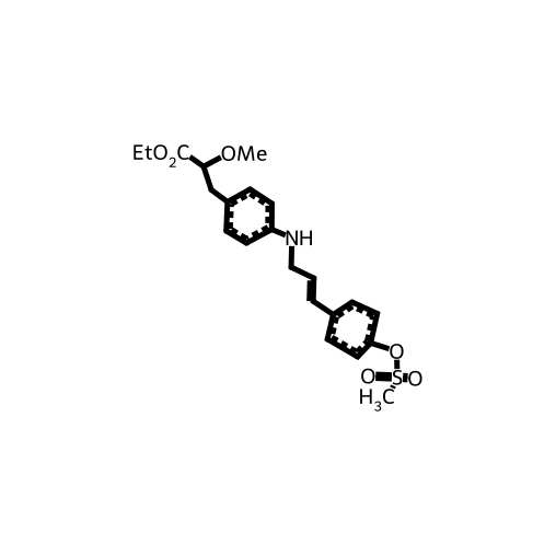 CCOC(=O)C(Cc1ccc(NC/C=C/c2ccc(OS(C)(=O)=O)cc2)cc1)OC